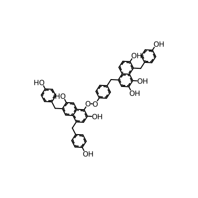 Oc1ccc(Cc2cc3c(Cc4ccc(O)cc4)cc(O)c(OOc4ccc(Cc5cc(O)c(O)c6c(Cc7ccc(O)cc7)c(O)ccc56)cc4)c3cc2O)cc1